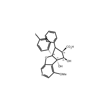 COc1cncc2c1[C@]1(O)[C@H](O)[C@H](C(=O)O)C(c3ccccc3)[C@]1(c1ccc(I)cc1)O2